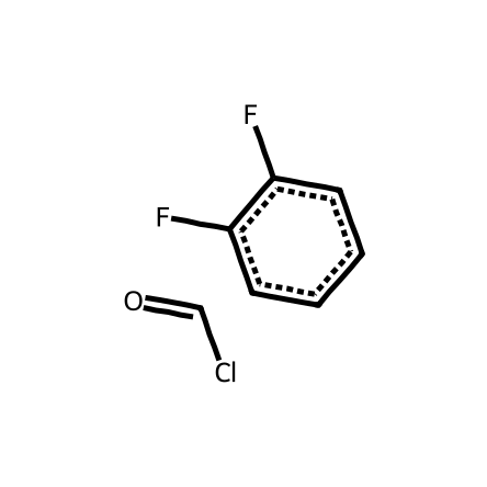 Fc1ccccc1F.O=CCl